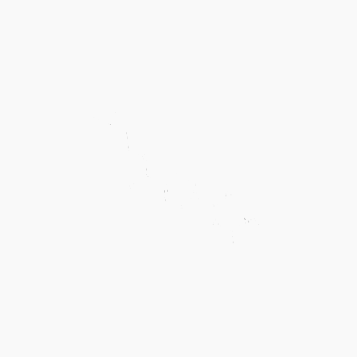 CC(N)OC(=O)c1ccc(C(=O)OCCC(C)(C)C)cc1